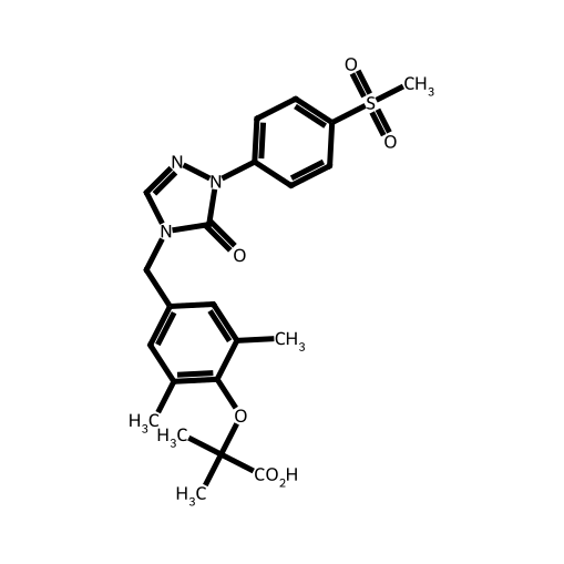 Cc1cc(Cn2cnn(-c3ccc(S(C)(=O)=O)cc3)c2=O)cc(C)c1OC(C)(C)C(=O)O